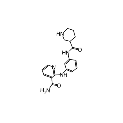 NC(=O)c1cccnc1Nc1cccc(NC(=O)C2CCCNC2)c1